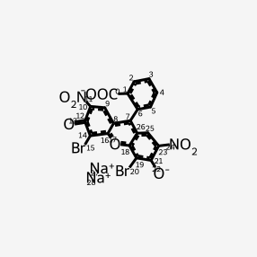 O=C([O-])c1ccccc1-c1c2cc([N+](=O)[O-])c(=O)c(Br)c-2oc2c(Br)c([O-])c([N+](=O)[O-])cc12.[Na+].[Na+]